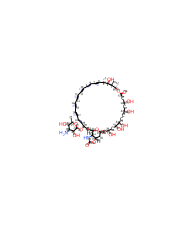 C[C@@H]1[C@H](O)[C@@H](C)/C=C/C=C/C=C/C=C/C=C/C=C/C=C/[C@H](O[C@@H]2O[C@H](C)[C@@H](O)[C@H](N)[C@H]2O)C[C@@H]2O[C@](O)(C[C@@H](O)C[C@@H](O)[C@H](O)CC[C@@H](O)C[C@@H](O)CC(=O)O[C@H]1C)C[C@@H]1OC(=O)N[C@H]12